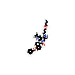 CCCCOCCCCn1cc(CN(C(=O)C2CCCc3c(OCc4ccccc4)cccc32)c2ccc(C(C)C)nc2)cn1